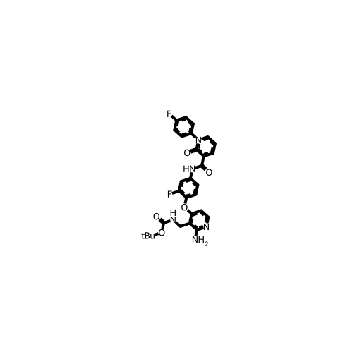 CC(C)(C)OC(=O)NCc1c(Oc2ccc(NC(=O)c3cccn(-c4ccc(F)cc4)c3=O)cc2F)ccnc1N